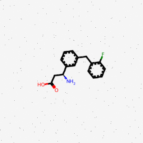 N[C@@H](CC(=O)O)c1cccc(Cc2ccccc2F)c1